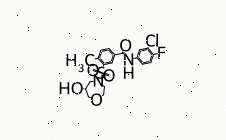 Cc1ccc(C(=O)Nc2ccc(F)c(Cl)c2)cc1S(=O)(=O)N1CCOC[C@H](O)C1